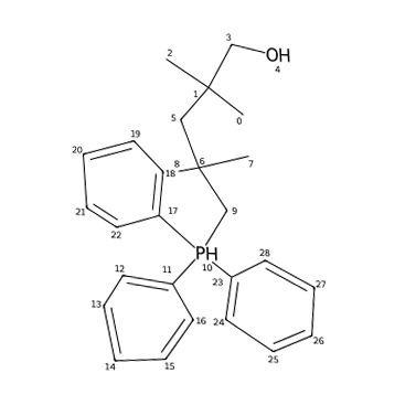 CC(C)(CO)CC(C)(C)C[PH](c1ccccc1)(c1ccccc1)c1ccccc1